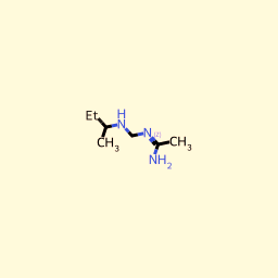 CCC(C)NC/N=C(/C)N